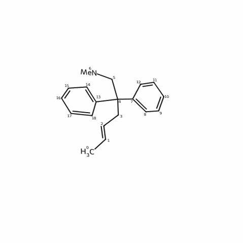 CC=CCC(CNC)(c1ccccc1)c1ccccc1